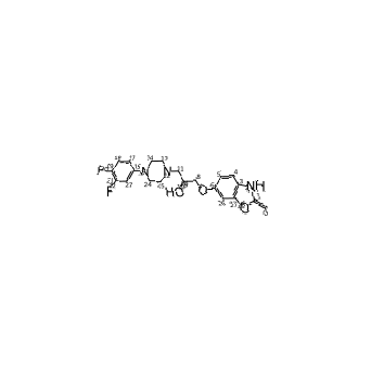 C=C1Nc2ccc(OC[C@@H](O)CN3CCN(c4ccc(F)c(F)c4)CC3)cc2O1